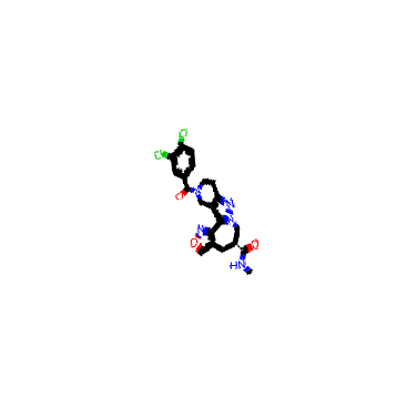 CNC(=O)[C@@H]1Cc2conc2-c2c3c(nn2C1)CCN(C(=O)c1ccc(Cl)c(Cl)c1)C3